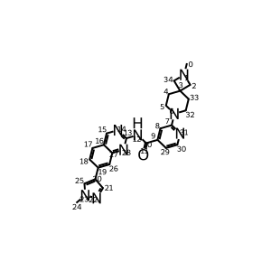 CN1CC2(CCN(c3cc(C(=O)Nc4ncc5ccc(-c6cnn(C)c6)cc5n4)ccn3)CC2)C1